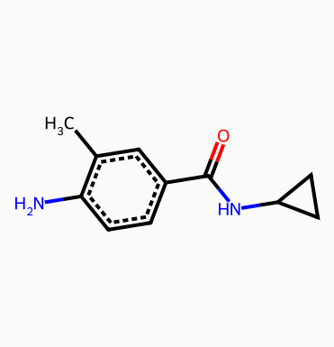 Cc1cc(C(=O)NC2CC2)ccc1N